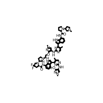 COc1nn(C)cc1Nc1ncc(C)c(-c2c[nH]c3c(NC(=O)[C@H]4CC(F)(F)CN4C4CCN(CCOc5nn(C)cc5Nc5ncc(C)c(-c6c[nH]c7c(NC(=O)[C@H]8CCCN8[C@H]8CCN(C)C8)cccc67)n5)C4)cccc23)n1